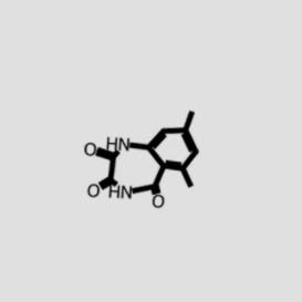 Cc1cc(C)c2c(=O)[nH]c(=O)c(=O)[nH]c2c1